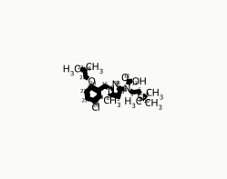 Cc1cc(N(CC[Si](C)(C)C)C(=O)O)nn1Cc1cc(Cl)ccc1OCC(C)C